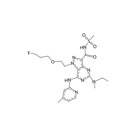 CCN(C)c1nc(Nc2cc(C)ccn2)c2c(n1)c(C(=O)NS(C)(=O)=O)nn2CCOCCCF